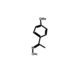 COc1ccc(/C(C)=N/OC(C)=O)cc1